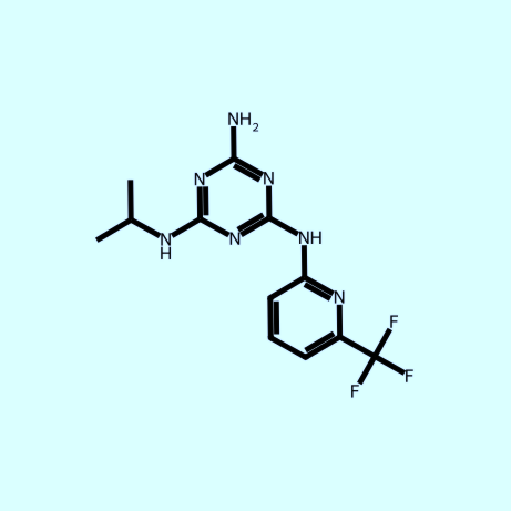 CC(C)Nc1nc(N)nc(Nc2cccc(C(F)(F)F)n2)n1